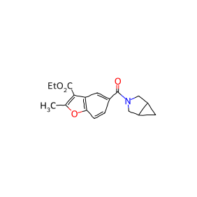 CCOC(=O)c1c(C)oc2ccc(C(=O)N3CC4CC4C3)cc12